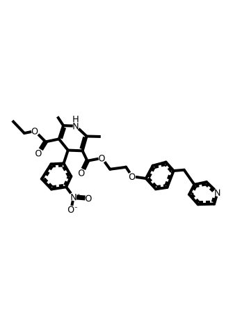 CCOC(=O)C1=C(C)NC(C)=C(C(=O)OCCOc2ccc(Cc3cccnc3)cc2)C1c1cccc([N+](=O)[O-])c1